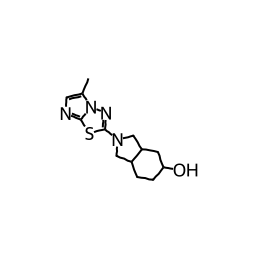 Cc1cnc2sc(N3CC4CCC(O)CC4C3)nn12